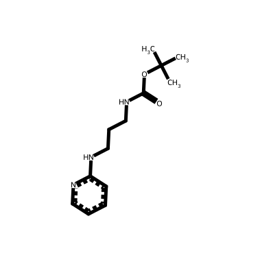 CC(C)(C)OC(=O)NCCCNc1ccccn1